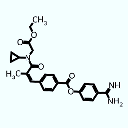 CCOC(=O)CN(C(=O)C(C)=Cc1ccc(C(=O)Oc2ccc(C(=N)N)cc2)cc1)C1CC1